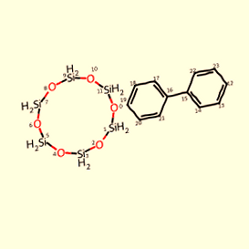 O1[SiH2]O[SiH2]O[SiH2]O[SiH2]O[SiH2]O[SiH2]1.c1ccc(-c2ccccc2)cc1